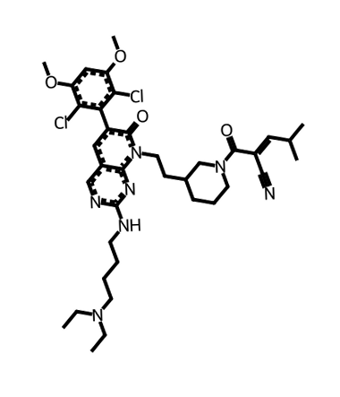 CCN(CC)CCCCNc1ncc2cc(-c3c(Cl)c(OC)cc(OC)c3Cl)c(=O)n(CCC3CCCN(C(=O)C(C#N)=CC(C)C)C3)c2n1